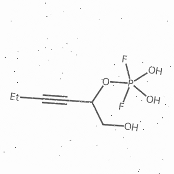 CCC#CC(CO)OP(O)(O)(F)F